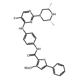 COc1cc(-c2ccccc2)sc1C(=O)Nc1ccc(Nc2nc(N3C[C@@H](C)N[C@@H](C)C3)ncc2F)cc1